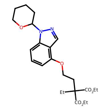 CCOC(=O)C(CC)(CCOc1cccc2c1cnn2C1CCCCO1)C(=O)OCC